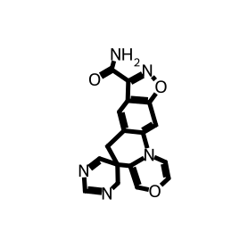 NC(=O)c1noc2cc3c(cc12)CC1(C=NC=NC1)C1=COC=CN13